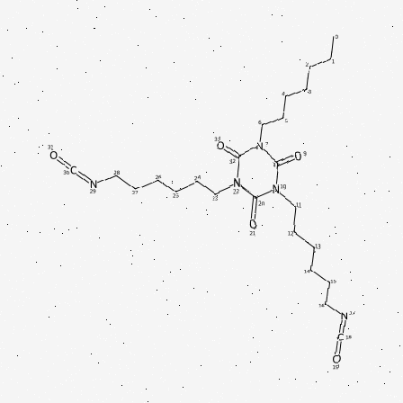 CCCCCCCn1c(=O)n(CCCCCCN=C=O)c(=O)n(CCCCCCN=C=O)c1=O